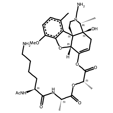 COc1ccc(C)c2c1O[C@H]1C(OC(=O)[C@H](C)OC(=O)[C@H](C)NC(=O)[C@H](CCCCN)NC(C)=O)=CC[C@@]3(O)[C@@H](C)N(N)CC[C@]213